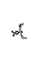 CCO[Si](C)(C)CCCN1CCN(CCC[Si](C)(C)OCC)C1=c1ccc(=C(C#N)C#N)cc1